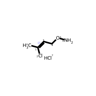 C/C(Cl)=C/CON.Cl